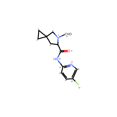 O=CN1CC2(CC2)CC1C(=O)Nc1ccc(F)cn1